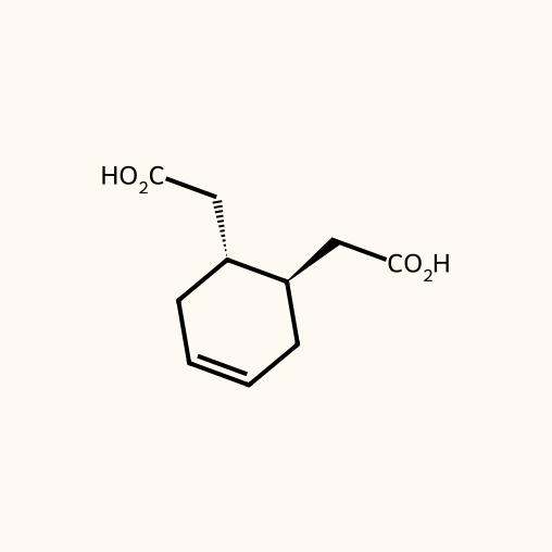 O=C(O)C[C@H]1CC=CC[C@@H]1CC(=O)O